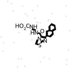 O=C(O)NCCNC(=O)c1c(-c2ccc3ccccc3c2)nc2sccn12